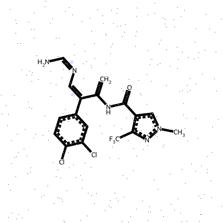 C=C(NC(=O)c1cn(C)nc1C(F)(F)F)/C(=C\N=C/N)c1ccc(Cl)c(Cl)c1